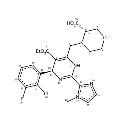 CCOC(=O)C1=C(CN2CCOC[C@H]2C(=O)O)NC(c2nccn2C)=N[C@H]1c1cccc(F)c1Cl